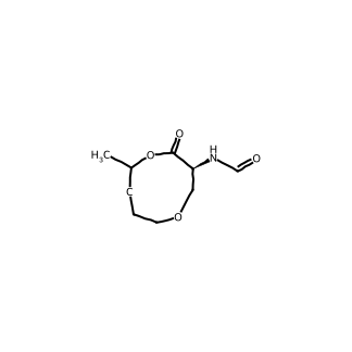 CC1CCCOC[C@H](NC=O)C(=O)O1